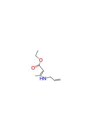 C=CCNC(C)=CC(=O)OCC